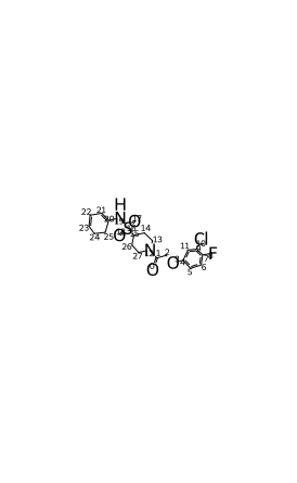 O=C(COc1ccc(F)c(Cl)c1)N1CCC(S(=O)(=O)NC2=CC=CCC2)CC1